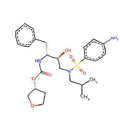 CC(C)CN(C[C@H](O)[C@@H](Cc1ccccc1)NC(=O)O[C@@H]1CCOC1)S(=O)(=O)c1ccc(N)cc1